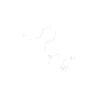 CCOc1ccccc1CN(C)CC(CC)NC